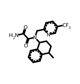 CC1CCC(N(Cc2ccc(C(F)(F)F)cn2)C(=O)C(N)=O)c2ccccc21